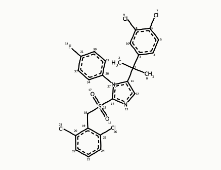 CC(C)(c1ccc(Cl)c(Cl)c1)c1cnc(S(=O)(=O)Cc2c(Cl)cccc2Cl)n1-c1ccc(F)cc1